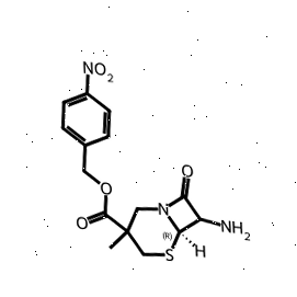 CC1(C(=O)OCc2ccc([N+](=O)[O-])cc2)CS[C@@H]2C(N)C(=O)N2C1